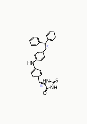 O=C1NC(=S)N/C1=C\c1ccc(Nc2ccc(/C=C(/C3=CCCC=C3)c3ccccc3)cc2)cc1